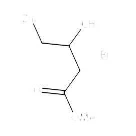 COC(=O)CC(C)[CH2][Zn+].[Br-]